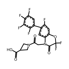 O=C(O)C1CN(C(=O)CN2C(=O)C(F)(F)Oc3cc(F)c(-c4cc(F)c(F)c(F)c4F)cc32)C1